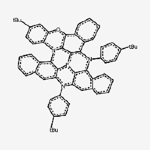 CC(C)(C)c1ccc(-n2c3cc4ccccc4c4c3p3c5c2cc2ccccc2c5n2c5ccc(C(C)(C)C)cc5oc5c6ccccc6c(c3c52)n4-c2ccc(C(C)(C)C)cc2)cc1